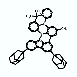 Cc1cc2c3c(c1)N1c4ccccc4C(C)(C)c4cccc(c41)B3n1c3ccc(C45CC6CC(CC(C6)C4)C5)cc3c3cc(C45CC6CC(CC(C6)C4)C5)cc-2c31